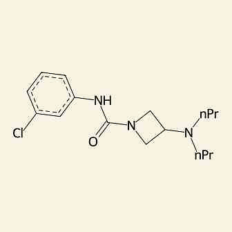 CCCN(CCC)C1CN(C(=O)Nc2cccc(Cl)c2)C1